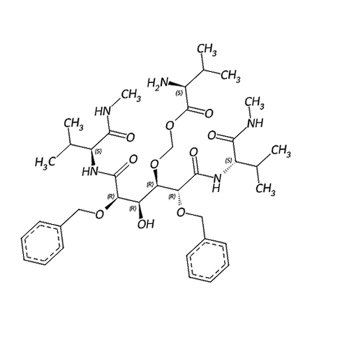 CNC(=O)[C@@H](NC(=O)[C@H](OCc1ccccc1)[C@H](O)[C@@H](OCOC(=O)[C@@H](N)C(C)C)[C@@H](OCc1ccccc1)C(=O)N[C@H](C(=O)NC)C(C)C)C(C)C